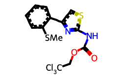 CSc1ccccc1-c1csc(NC(=O)OCC(Cl)(Cl)Cl)n1